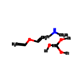 C=COC=C.CCCNC(=O)OCC.CCO[SiH](OCC)OCC